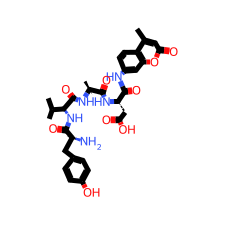 Cc1cc(=O)oc2cc(NC(=O)[C@H](CC(=O)O)NC(=O)[C@H](C)NC(=O)[C@@H](NC(=O)[C@@H](N)Cc3ccc(O)cc3)C(C)C)ccc12